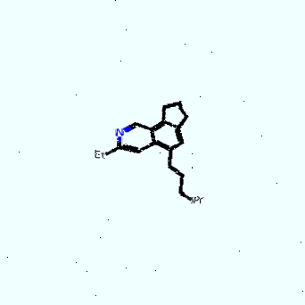 CCc1cc2c(CCCC(C)C)cc3c(c2cn1)CCC3